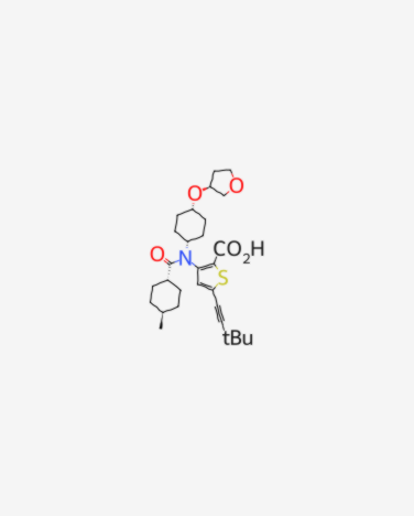 CC(C)(C)C#Cc1cc(N(C(=O)[C@H]2CC[C@H](C)CC2)[C@H]2CC[C@@H](O[C@H]3CCOC3)CC2)c(C(=O)O)s1